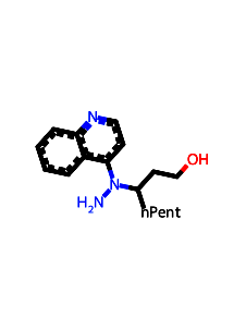 CCCCCC(CCO)N(N)c1ccnc2ccccc12